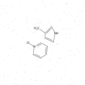 Cc1cc[nH]c1.[O-][n+]1ccccc1